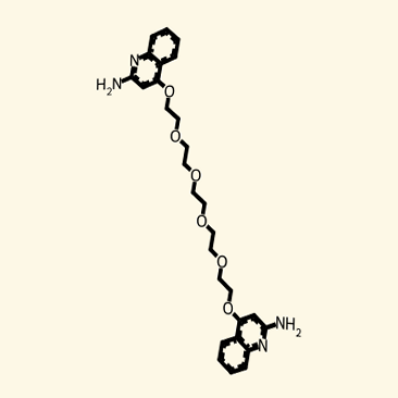 Nc1cc(OCCOCCOCCOCCOCCOc2cc(N)nc3ccccc23)c2ccccc2n1